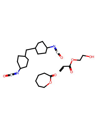 C=CC(=O)OCCO.O=C1CCCCCO1.O=C=NC1CCC(CC2CCC(N=C=O)CC2)CC1